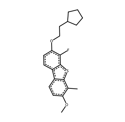 COc1ccc2c(sc3c(F)c(OCCC4CCCC4)ccc32)c1C